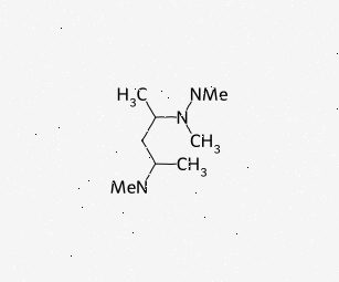 CNC(C)CC(C)N(C)NC